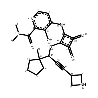 CN(C)C(=O)c1nccc(Nc2c(N[C@@H](C#CC3CNC3)C3(C)CCCC3)c(=O)c2=O)c1O